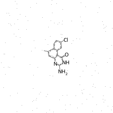 Cc1cc2nc(N)[nH]c(=O)c2c2cc(Cl)ccc12